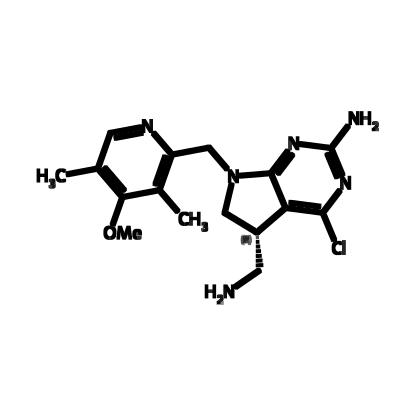 COc1c(C)cnc(CN2C[C@@H](CN)c3c(Cl)nc(N)nc32)c1C